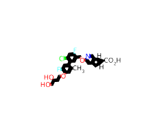 Cc1cc(OCC[C@@H](O)CO)c(F)cc1-c1cc(COc2cc3c(cn2)[C@H]2[C@@H](C3)[C@@H]2C(=O)O)c(F)cc1Cl